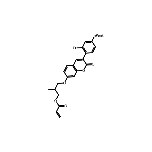 C=CC(=O)OCC(C)COc1ccc2cc(-c3ccc(CCCCC)cc3CC)c(=O)oc2c1